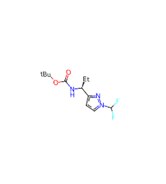 CC[C@H](NC(=O)OC(C)(C)C)c1ccn(C(F)F)n1